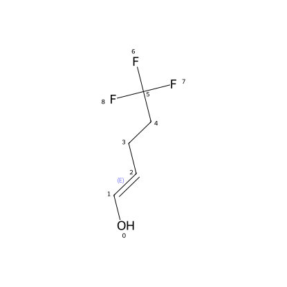 O/C=C/CCC(F)(F)F